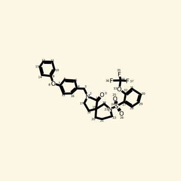 O=C1N(Cc2ccc(Oc3ccccc3)cc2)CCC12CCCN(S(=O)(=O)c1ccccc1OC(F)(F)F)C2